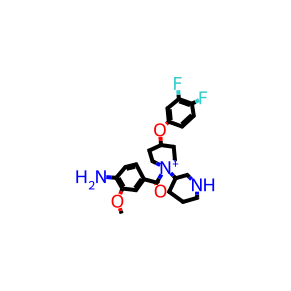 COc1cc(C(=O)[N+]2(C3CCCNC3)CCC(Oc3ccc(F)c(F)c3)CC2)ccc1N